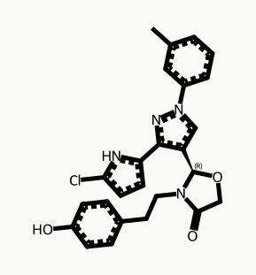 Cc1cccc(-n2cc([C@H]3OCC(=O)N3CCc3ccc(O)cc3)c(-c3ccc(Cl)[nH]3)n2)c1